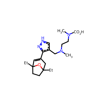 CCC12C=C(c3n[nH]cc3CN(C)CCN(C)C(=O)O)CC(CC)(CC1)O2